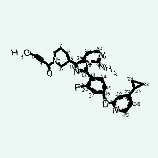 CC#CC(=O)N1CCCC(c2nc(-c3ccc(Oc4cc(C5CC5)ccn4)cc3F)n3c(N)nccc23)C1